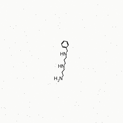 NCCCNCCCNCc1ccccc1